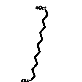 CCCCCCCCCCCCCCCCCCCC=O